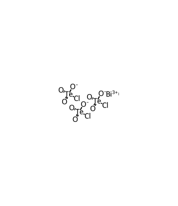 O=[Te](=O)([O-])Cl.O=[Te](=O)([O-])Cl.O=[Te](=O)([O-])Cl.[Bi+3]